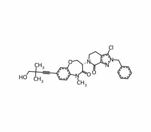 CN1C(=O)[C@@H](N2CCc3c(nn(Cc4ccccc4)c3Cl)C2=O)COc2cc(C#CC(C)(C)CO)ccc21